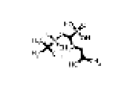 CC(O)COC(O[Si](C)(C)C(C)(C)C)P(=O)(O)O